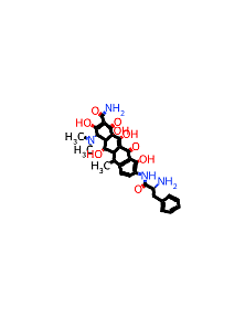 CC1c2ccc(NC(=O)[C@@H](N)Cc3ccccc3)c(O)c2C(=O)C2=C(O)[C@]3(O)C(=O)C(C(N)=O)=C(O)[C@@H](N(C)C)C3C(O)C21